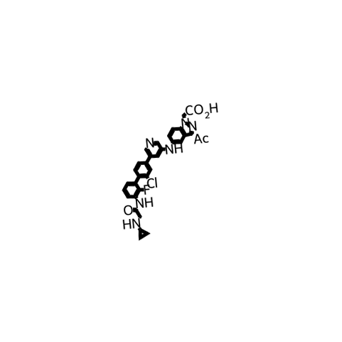 CC(=O)c1nn(CC(=O)O)c2ccc(Nc3cncc(-c4ccc(-c5cccc(NC(=O)CNC6CC6)c5F)c(Cl)c4)c3)cc12